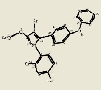 CCc1c(OOC(C)=O)nn(-c2ccc(Cl)cc2Cl)c1-c1ccc(Oc2ccccc2)cc1